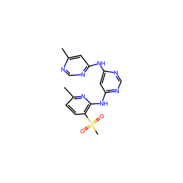 Cc1cc(Nc2cc(Nc3nc(C)ccc3S(C)(=O)=O)ncn2)ncn1